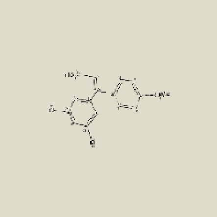 COc1ccc(C(=CC(=O)O)c2cc(Cl)cc(Cl)c2)cc1